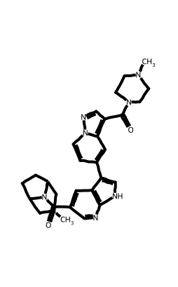 CN1CCN(C(=O)c2cnn3ccc(-c4c[nH]c5ncc(C(=O)N6C7CCC6CN(C)C7)cc45)cc23)CC1